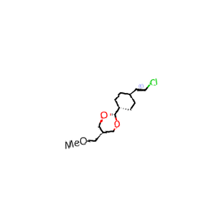 COC[C@H]1CO[C@H]([C@H]2CC[C@H](/C=C/Cl)CC2)OC1